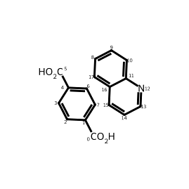 O=C(O)c1ccc(C(=O)O)cc1.c1ccc2ncccc2c1